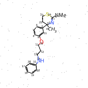 CNC1=NC(C)(c2cccc(OCCCNc3ccccc3)c2)CCS1